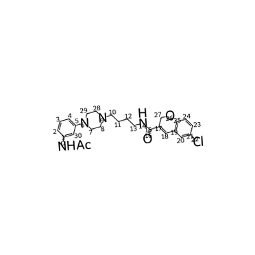 CC(=O)Nc1cccc(N2CCN(CCCCNC(=O)C3=Cc4cc(Cl)ccc4OC3)CC2)c1